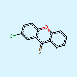 S=c1c2[c]cccc2oc2ccc(Cl)cc12